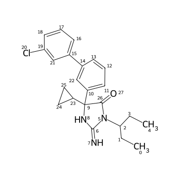 CCC(CC)N1C(=N)NC(c2cccc(-c3cccc(Cl)c3)c2)(C2CC2)C1=O